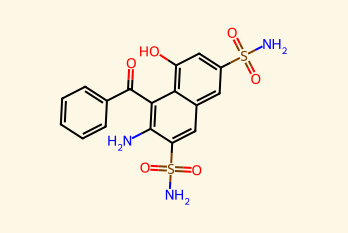 Nc1c(S(N)(=O)=O)cc2cc(S(N)(=O)=O)cc(O)c2c1C(=O)c1ccccc1